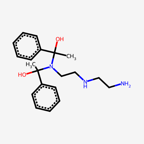 CC(O)(c1ccccc1)N(CCNCCN)C(C)(O)c1ccccc1